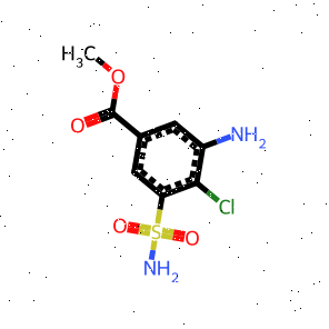 COC(=O)c1cc(N)c(Cl)c(S(N)(=O)=O)c1